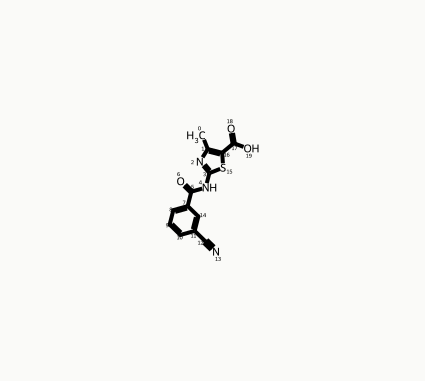 Cc1nc(NC(=O)c2cccc(C#N)c2)sc1C(=O)O